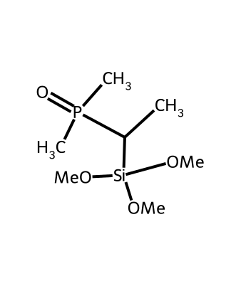 CO[Si](OC)(OC)C(C)P(C)(C)=O